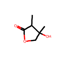 CC1C(=O)OCC1(C)O